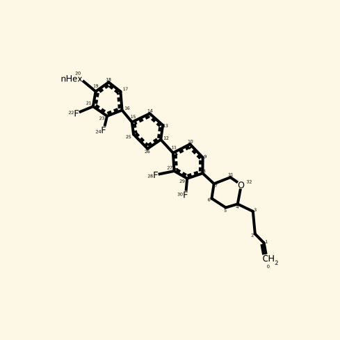 C=CCCC1CCC(c2ccc(-c3ccc(-c4ccc(CCCCCC)c(F)c4F)cc3)c(F)c2F)CO1